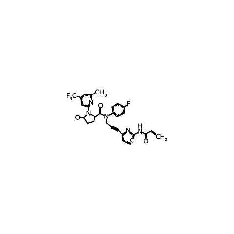 C=CC(=O)Nc1cccc(C#CCN(C(=O)C2CCC(=O)N2c2cc(C(F)(F)F)cc(C)n2)c2ccc(F)cc2)n1